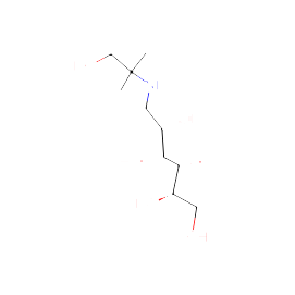 CC(C)(CO)NC[C@H](O)[C@@H](O)[C@H](O)[C@H](O)CO